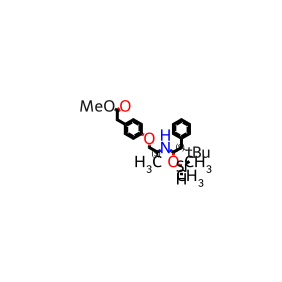 COC(=O)Cc1ccc(OC[C@H](C)NC(O[SiH](C)C)[C@H](c2ccccc2)C(C)(C)C)cc1